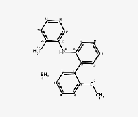 B.COc1ccccc1-c1ccccc1Pc1ccccc1C